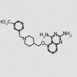 Nc1nc(N)c2c(OCC3CCN(Cc4cccc(C(=O)O)c4)CC3)cccc2n1